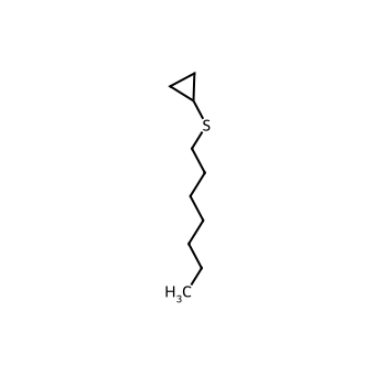 CCCCCCCSC1CC1